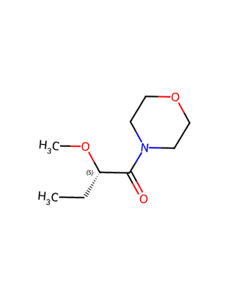 CC[C@H](OC)C(=O)N1CCOCC1